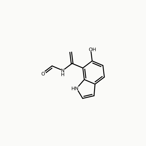 C=C(NC=O)c1c(O)ccc2cc[nH]c12